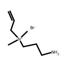 C=CC[N+](C)(C)CCCN.[Br-]